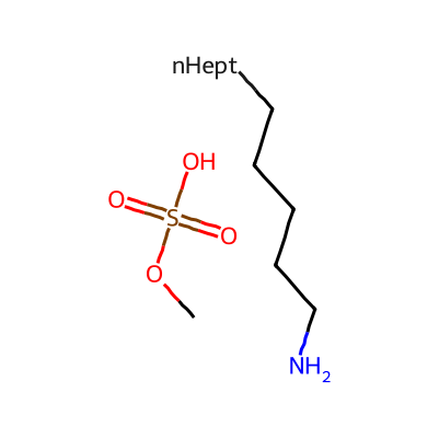 CCCCCCCCCCCCN.COS(=O)(=O)O